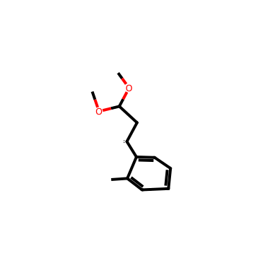 COC(C[C]c1ccccc1C)OC